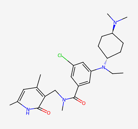 CCN(c1cc(Cl)cc(C(=O)N(C)Cc2c(C)cc(C)[nH]c2=O)c1)[C@H]1CC[C@H](N(C)C)CC1